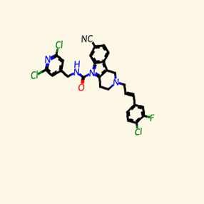 N#Cc1ccc2c3c(n(C(=O)NCc4cc(Cl)nc(Cl)c4)c2c1)CCN(CC=Cc1ccc(Cl)c(F)c1)C3